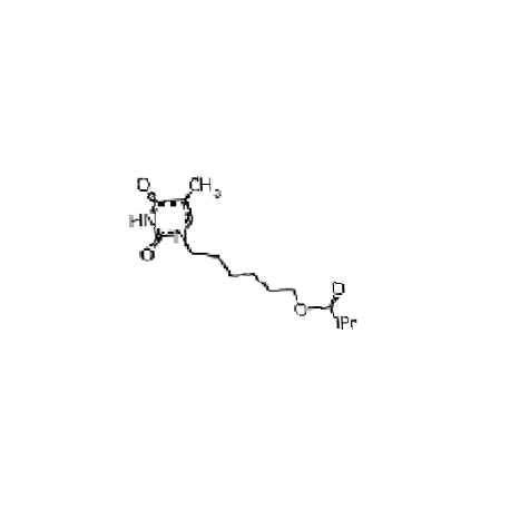 Cc1cn(CCCCCCOC(=O)C(C)C)c(=O)[nH]c1=O